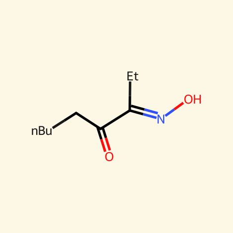 CCCCCC(=O)/C(CC)=N/O